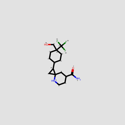 NC(=O)C1CCNC2(C1)CC2C1CCC(CO)(C(F)(F)F)CC1